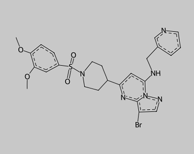 COc1ccc(S(=O)(=O)N2CCC(c3cc(NCc4cccnc4)n4ncc(Br)c4n3)CC2)cc1OC